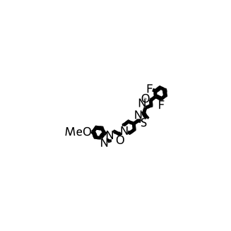 COc1ccc2c(c1)ncn2CC(=O)N1CCC(c2nc(C3=NOC(c4c(F)cccc4F)C3)cs2)CC1